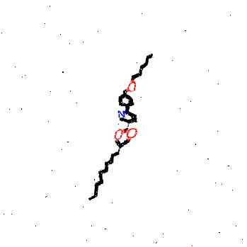 CCCCCCCCCC[C@H]1CO[C@H](c2ccc(-c3ccc(COCCCCCC)cc3)nc2)OC1